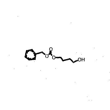 O=C(OCCCCO)OCc1ccccc1